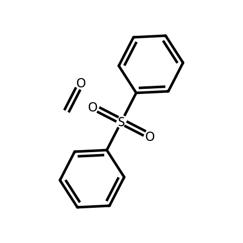 C=O.O=S(=O)(c1ccccc1)c1ccccc1